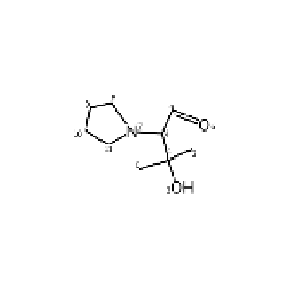 CC(C)(O)C(C=O)N1CCCC1